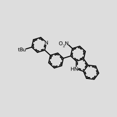 CC(C)(C)c1ccnc(-c2cccc(-c3c([N+](=O)[O-])ccc4c3[nH]c3ccccc34)c2)c1